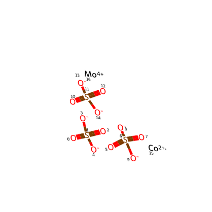 O=S(=O)([O-])[O-].O=S(=O)([O-])[O-].O=S(=O)([O-])[O-].[Co+2].[Mo+4]